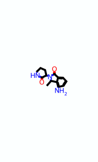 CC1c2c(N)cccc2C(=O)N1C1CCCNC1=O